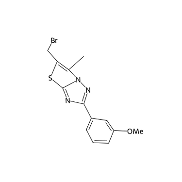 COc1cccc(-c2nc3sc(CBr)c(C)n3n2)c1